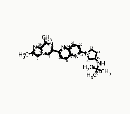 Cc1cn2cc(-c3ccc4nc(N5CCC(NC(C)(C)C)C5)ccc4n3)nc(C)c2n1